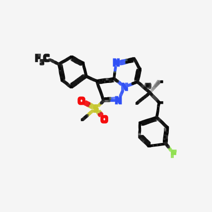 [CH2][C@@](C)([CH]c1cccc(F)c1)c1ccnc2c(-c3ccc(C(F)(F)F)cc3)c(S(C)(=O)=O)nn12